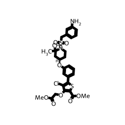 COC(=O)COc1c(C(=O)OC)sc(-c2cccc(O[C@@H]3CCN(S(=O)(=O)Cc4cccc(N)c4)C(C)(C)C3)c2)c1Cl